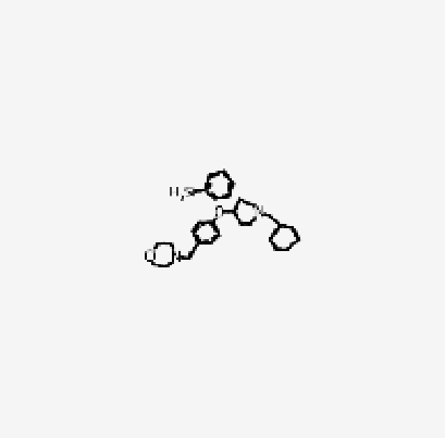 [SiH3]c1ccccc1.c1cc(OC2CCN(CC3CCCCC3)CC2)ccc1CN1CCOCC1